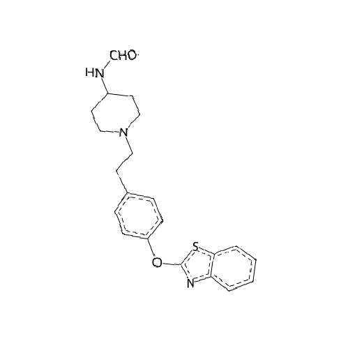 O=[C]NC1CCN(CCc2ccc(Oc3nc4ccccc4s3)cc2)CC1